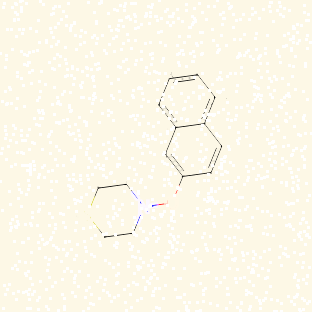 [c]1c(ON2CCSCC2)ccc2ccccc12